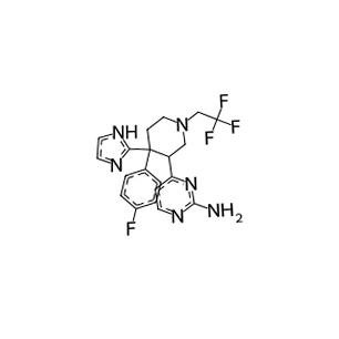 Nc1nccc(C2CN(CC(F)(F)F)CCC2(c2ccc(F)cc2)c2ncc[nH]2)n1